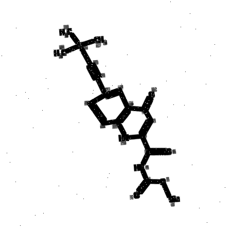 CC(C)(C)OC(=O)NC(=O)c1cc(=O)c2cc(C#C[Si](C)(C)C)ccc2[nH]1